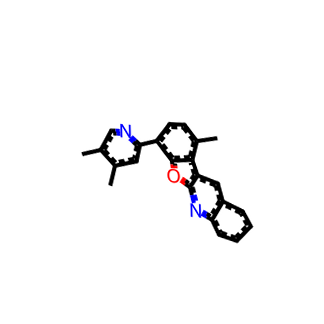 Cc1cnc(-c2ccc(C)c3c2oc2nc4ccccc4cc23)cc1C